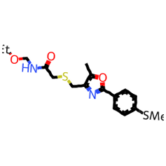 CCOCNC(=O)CSCc1nc(-c2ccc(SC)cc2)oc1C